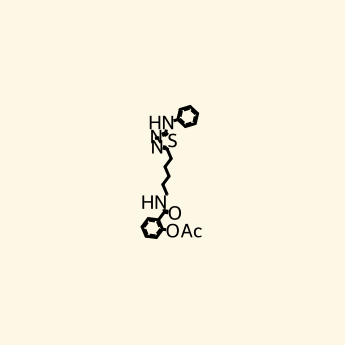 CC(=O)Oc1ccccc1C(=O)NCCCCCc1nnc(Nc2ccccc2)s1